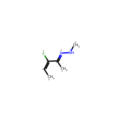 C/C=C(F)\C(C)=N\NC